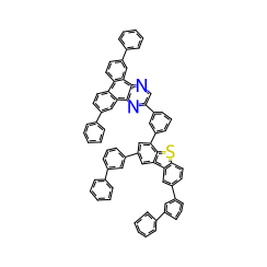 c1ccc(-c2cccc(-c3ccc4sc5c(-c6cccc(-c7cnc8c9cc(-c%10ccccc%10)ccc9c9ccc(-c%10ccccc%10)cc9c8n7)c6)cc(-c6cccc(-c7ccccc7)c6)cc5c4c3)c2)cc1